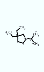 CCC1(CC)CCN(C(C)C)C1